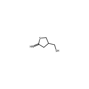 N=C1CC(CS)CS1